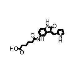 O=C(O)CCCCC(=O)Nc1ccc2c(c1)C(=Cc1ccc[nH]1)C(=O)N2